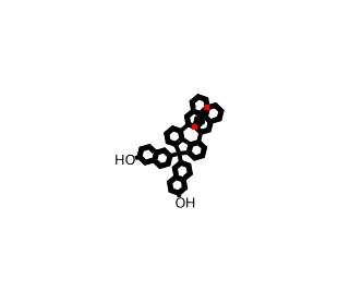 Oc1ccc2cc(C3(c4ccc5cc(O)ccc5c4)c4cccc(-c5ccc6ccccc6c5)c4-c4c(-c5ccc6ccccc6c5)cccc43)ccc2c1